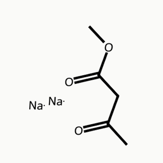 COC(=O)CC(C)=O.[Na].[Na]